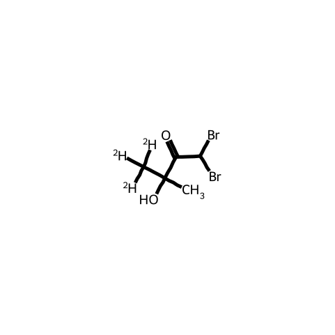 [2H]C([2H])([2H])C(C)(O)C(=O)C(Br)Br